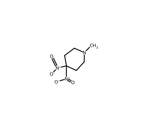 CN1CCC([N+](=O)[O-])([N+](=O)[O-])CC1